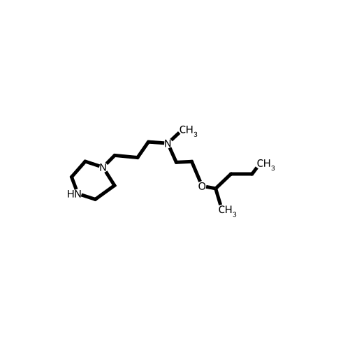 CCCC(C)OCCN(C)CCCN1CCNCC1